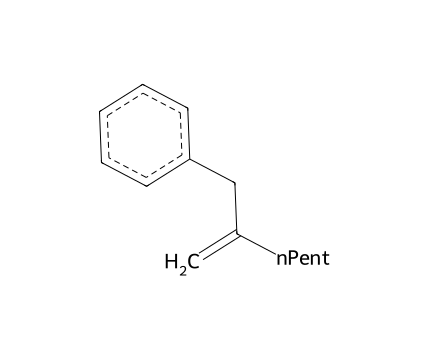 C=C(CCCCC)Cc1ccccc1